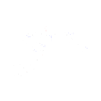 CN(C)C/C=C/C(=O)NC1CCC(NC(=O)c2sc3nccc4c3c2NC(=O)N4c2ccc(Oc3ccccc3)c(Cl)c2)C1